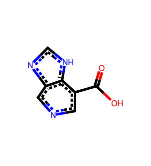 O=C(O)c1cncc2nc[nH]c12